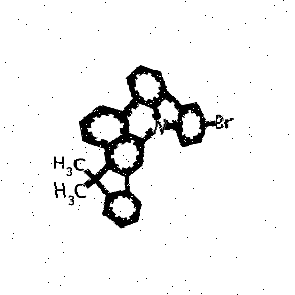 CC1(C)c2ccccc2-c2cc3c4c(cccc4c4cccc5c6cc(Br)ccc6n3c45)c21